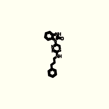 O=c1[nH]c2ccccc2n1C1=NN=C(NCCCc2ccccc2)SC1